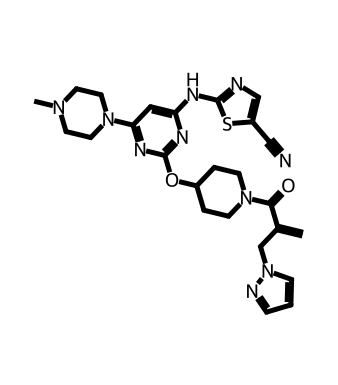 C=C(Cn1cccn1)C(=O)N1CCC(Oc2nc(Nc3ncc(C#N)s3)cc(N3CCN(C)CC3)n2)CC1